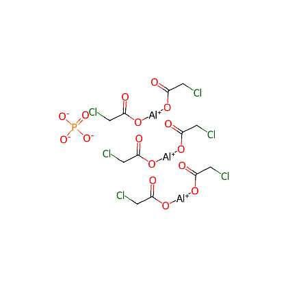 O=C(CCl)[O][Al+][O]C(=O)CCl.O=C(CCl)[O][Al+][O]C(=O)CCl.O=C(CCl)[O][Al+][O]C(=O)CCl.O=P([O-])([O-])[O-]